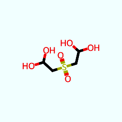 O=S(=O)(CC(O)O)CC(O)O